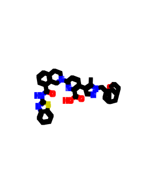 Cc1c(-c2ccc(N3CCc4cccc(C(=O)Nc5nc6ccccc6s5)c4C3)nc2C(=O)O)cnn1CC12CC3CC(CC(C3)O1)C2